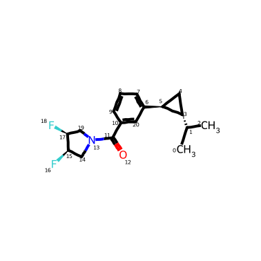 CC(C)[C@H]1C[C@@H]1c1cccc(C(=O)N2C[C@@H](F)[C@@H](F)C2)c1